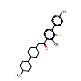 CCCc1ccc(-c2ccc(C(=O)CC3CCC(C4CCC(C)CC4)CC3)c(C(F)(F)F)c2F)cc1